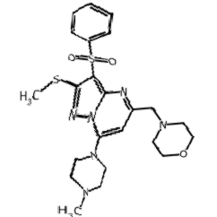 CSc1nn2c(N3CCN(C)CC3)cc(CN3CCOCC3)nc2c1S(=O)(=O)c1ccccc1